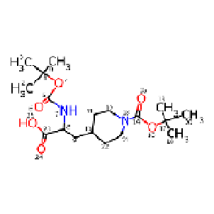 CC(C)(C)OC(=O)NC(CC1CCN(C(=O)OC(C)(C)C)CC1)C(=O)O